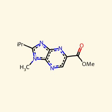 COC(=O)c1cnc2c(n1)nc(C(C)C)n2C